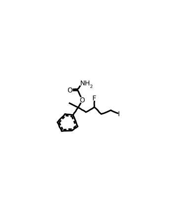 CC(CC(F)CCI)(OC(N)=O)c1ccccc1